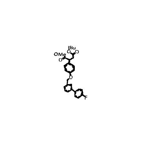 COC(=O)C(CC(=O)OC(C)(C)C)c1ccc(OCc2cccc(-c3ccc(F)cc3)c2)cc1